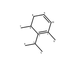 CC1=C(C(C)C)C(C)CC=C1